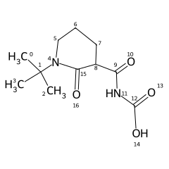 CC(C)(C)N1CCCC(C(=O)NC(=O)O)C1=O